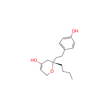 CCCC[C@]1(CCc2ccc(O)cc2)CC(O)=CCO1